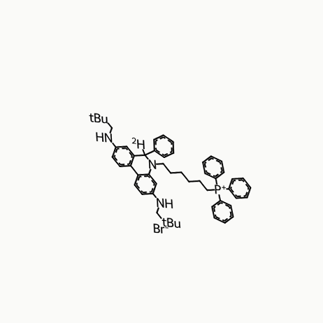 [2H]C1(c2ccccc2)c2cc(NCC(C)(C)C)ccc2-c2ccc(NCC(C)(C)C)cc2N1CCCCCC[P+](c1ccccc1)(c1ccccc1)c1ccccc1.[Br-]